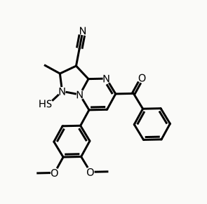 COc1ccc(C2=CC(C(=O)c3ccccc3)=NC3C(C#N)C(C)N(S)N23)cc1OC